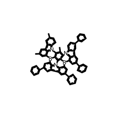 Cc1ccc2c(c1)c1cc(C)cc3c1n2-c1c(C)c2c4c5c1B3c1cc(-c3ccccc3)cc3c6cc(-c7ccccc7)cc(c6n-5c13)B4c1cc(-c3ccccc3)cc3c4cc(-c5ccccc5)ccc4n-2c13